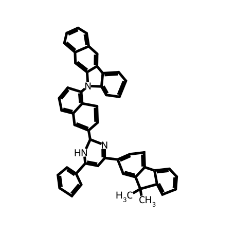 CC1(C)c2ccccc2-c2ccc(C3=NC(c4ccc5c(-n6c7ccccc7c7cc8ccccc8cc76)cccc5c4)NC(c4ccccc4)=C3)cc21